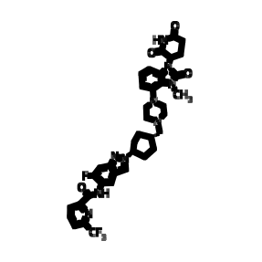 Cn1c(=O)n(C2CCC(=O)NC2=O)c2cccc(N3CCN(C[C@H]4CC[C@H](n5cc6cc(NC(=O)c7cccc(C(F)(F)F)n7)c(F)cc6n5)CC4)CC3)c21